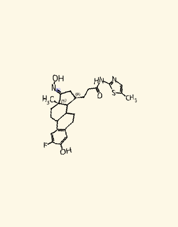 Cc1cnc(NC(=O)CC[C@@H]2C/C(=N\O)[C@@]3(C)CCC4c5cc(F)c(O)cc5CCC4C23)s1